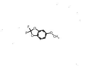 COc1c[c]c2c(c1)OC(F)(F)O2